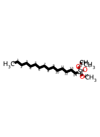 CCCCCCCCCCCCCCC[Si](OC)(OC)OC